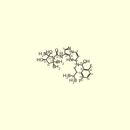 BC(B)CCN(C1C=Cn2ncc(NC(=O)N3C(B)(B)CC(O)C3(B)O)c2N1)C(O)c1cc(F)ccc1F